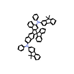 CC1(C)c2ccccc2-c2ccc(N(c3ccccc3)c3ccc4cc5c(cc4c3)C3(c4ccccc4-c4ccccc43)c3cc(N(c4ccccc4)c4ccc6c(c4)C(C)(C)c4ccccc4-6)c4ccccc4c3-5)cc21